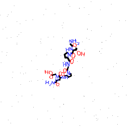 CC(O)C(NC(=O)CN)C(=O)N1CCCC1C(=O)NCC(=O)N1CCCC1C(=O)NC(CCC(N)=O)C(=O)NCC(=O)O